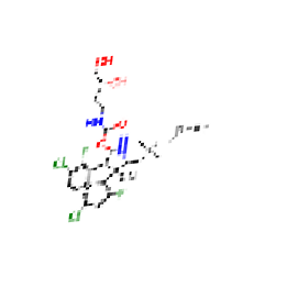 CC(=O)NCCC(C)(C)C[C@@H]1N[C@H](OC(=O)NCC[C@H](O)CO)[C@H](c2cccc(Cl)c2F)[C@@]1(C#N)c1ccc(Cl)cc1F